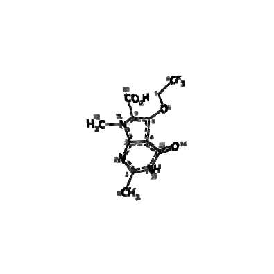 Cc1nc2c(c(OCC(F)(F)F)c(C(=O)O)n2C)c(=O)[nH]1